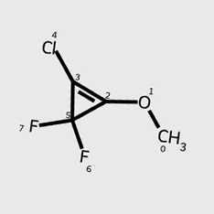 COC1=C(Cl)C1(F)F